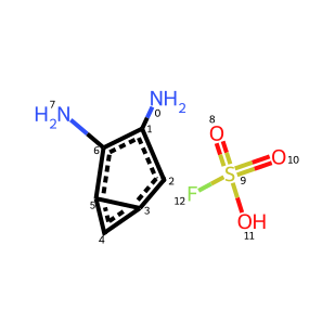 Nc1cc2cc-2c1N.O=S(=O)(O)F